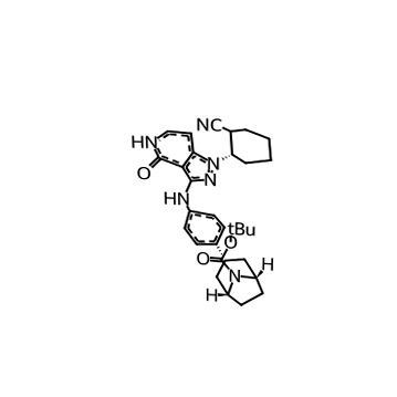 CC(C)(C)OC(=O)N1[C@@H]2CC[C@H]1C[C@@H](c1ccc(Nc3nn([C@H]4CCCCC4C#N)c4cc[nH]c(=O)c34)cc1)C2